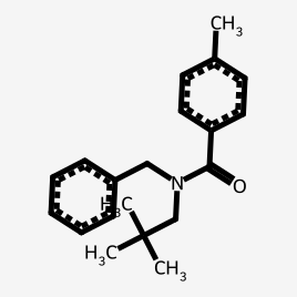 Cc1ccc(C(=O)N(Cc2ccccc2)CC(C)(C)C)cc1